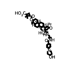 CC(C)C1=C2[C@H]3CC[C@@H]4[C@@]5(C)CC[C@H](OC(=O)[C@H]6C[C@@H](C(=O)O)C6(C)C)C(C)(C)[C@@H]5CC[C@@]4(C)[C@]3(C)CC[C@@]2([C@@H](O)CNCC(C)(C)NC(=O)c2ccc(N3CCC(O)CC3)cc2)CC1=O